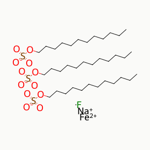 CCCCCCCCCCCCOS(=O)(=O)[O-].CCCCCCCCCCCCOS(=O)(=O)[O-].CCCCCCCCCCCCOS(=O)(=O)[O-].[F].[Fe+2].[Na+]